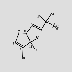 CC(=O)C(C)(C)C=CC1CC=C(C)C1(C)C